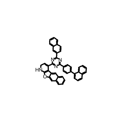 C1=C(c2nc(-c3ccc(-c4cccc5ccccc45)cc3)nc(-c3ccc4ccccc4c3)n2)c2c(oc3cc4ccccc4cc23)NC1